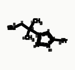 CC(C)c1cn(C(C)(C)CC(C)(C)C)nn1